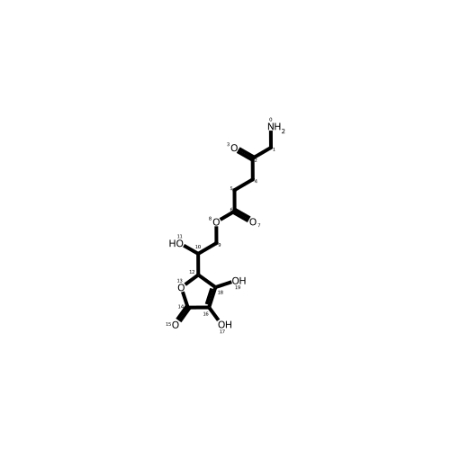 NCC(=O)CCC(=O)OCC(O)C1OC(=O)C(O)=C1O